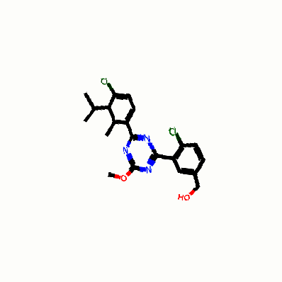 COc1nc(C2=CC=C(Cl)C(C(C)C)C2C)nc(-c2cc(CO)ccc2Cl)n1